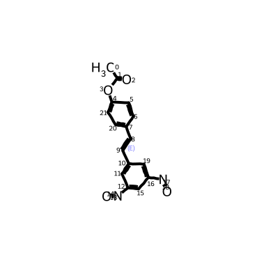 CC(=O)Oc1ccc(/C=C/c2cc(N=O)cc(N=O)c2)cc1